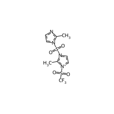 Cc1nccn1S(=O)(=O)n1cc[n+](S(=O)(=O)C(F)(F)F)c1C